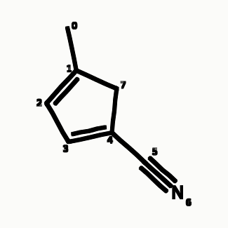 CC1=CC=C(C#N)C1